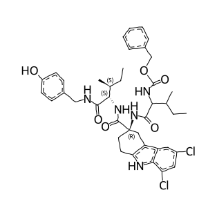 CCC(C)C(NC(=O)OCc1ccccc1)C(=O)N[C@]1(C(=O)N[C@H](C(=O)NCc2ccc(O)cc2)[C@@H](C)CC)CCc2[nH]c3c(Cl)cc(Cl)cc3c2C1